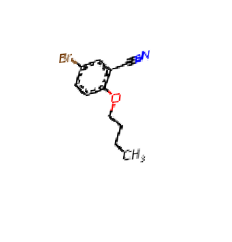 CCCCOc1ccc(Br)cc1C#N